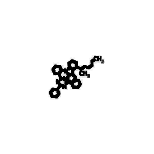 C=C/C=C\C=C(/C)c1cccc2c1c1ccccc1n2-c1ccccc1-c1nc(-c2ccccc2)nc(-c2ccccc2)n1